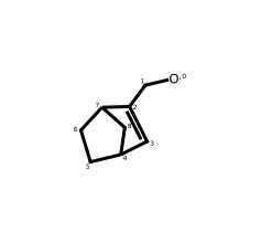 [O]CC1=CC2CCC1C2